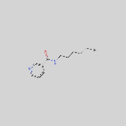 CC(C)CCCCCNC(=O)c1cccnc1